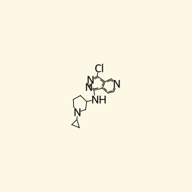 Clc1nnc(NC2CCCN(C3CC3)C2)c2ccncc12